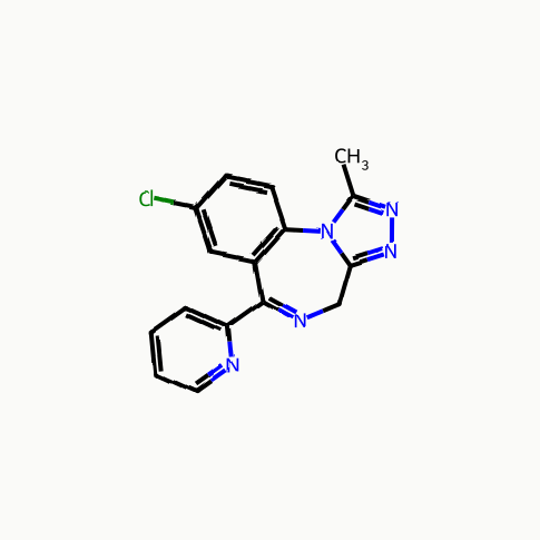 Cc1nnc2n1-c1ccc(Cl)cc1C(c1ccccn1)=NC2